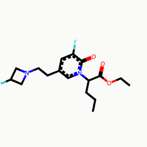 CCCC(C(=O)OCC)n1cc(CCN2CC(F)C2)cc(F)c1=O